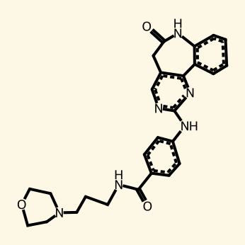 O=C1Cc2cnc(Nc3ccc(C(=O)NCCCN4CCOCC4)cc3)nc2-c2ccccc2N1